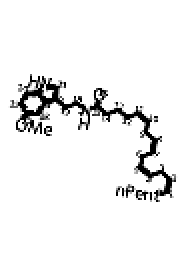 CCCCC/C=C\C/C=C\C/C=C\C/C=C\CCCC(=O)NCCc1c[nH]c2ccc(OC)cc12